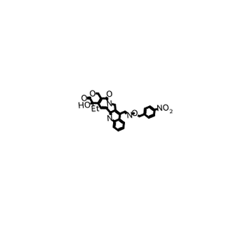 CC[C@@]1(O)C(=O)OCc2c1cc1n(c2=O)Cc2c-1nc1ccccc1c2C=NOCc1ccc([N+](=O)[O-])cc1